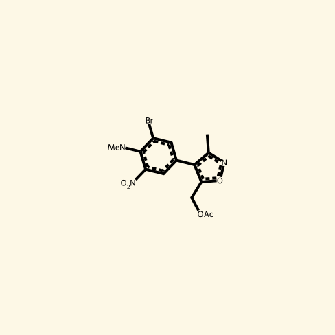 CNc1c(Br)cc(-c2c(C)noc2COC(C)=O)cc1[N+](=O)[O-]